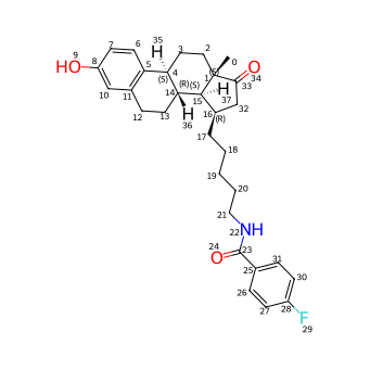 C[C@]12CC[C@@H]3c4ccc(O)cc4CC[C@H]3[C@@H]1[C@H](CCCCCNC(=O)c1ccc(F)cc1)CC2=O